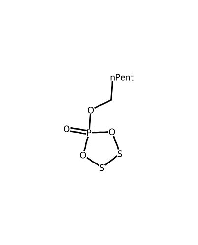 CCCCCCOP1(=O)OSSO1